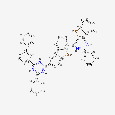 c1ccc(-c2cccc(-c3nc(-c4ccccc4)nc(-c4ccc5sc6c(-c7nc(-c8ccccc8)nc8c7sc7ccccc78)cccc6c5c4)n3)c2)cc1